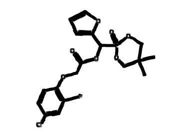 CC1(C)COP(=O)(C(OC(=O)COc2ccc(Cl)cc2F)c2ccco2)OC1